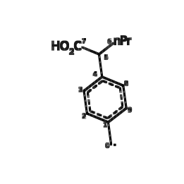 [CH2]c1ccc(C(CCC)C(=O)O)cc1